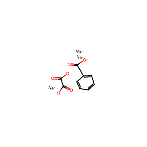 O=C([O-])C(=O)[O-].O=C([O-])c1ccccc1.[Na+].[Na+].[Na+]